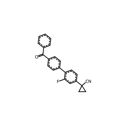 N#CC1(c2ccc(-c3ccc(C(=O)c4ccccc4)cc3)c(F)c2)CC1